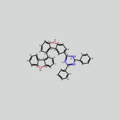 c1ccc(C2=NC(c3ccccc3)NC(c3ccc4oc5cccc(-c6cccc7oc8ccccc8c67)c5c4c3)=N2)cc1